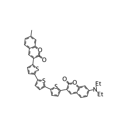 CCN(CC)c1ccc2cc(-c3ccc(-c4ccc(-c5ccc(-c6cc7ccc(C)cc7oc6=O)s5)s4)s3)c(=O)oc2c1